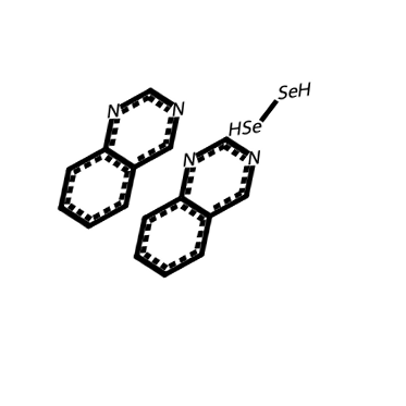 [SeH][SeH].c1ccc2ncncc2c1.c1ccc2ncncc2c1